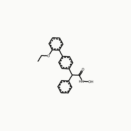 CCOc1ccccc1-c1ccc(C(C(=O)NO)c2ccccc2)cc1